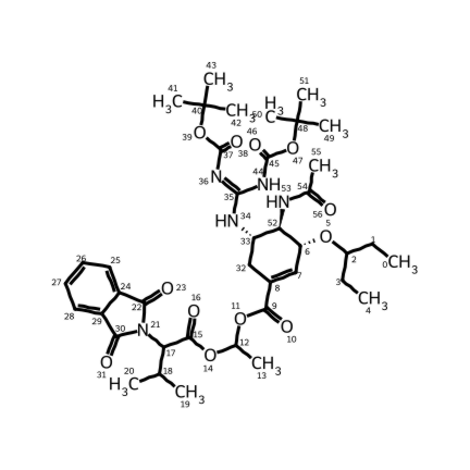 CCC(CC)O[C@@H]1C=C(C(=O)OC(C)OC(=O)C(C(C)C)N2C(=O)c3ccccc3C2=O)C[C@H](N/C(=N/C(=O)OC(C)(C)C)NC(=O)OC(C)(C)C)[C@H]1NC(C)=O